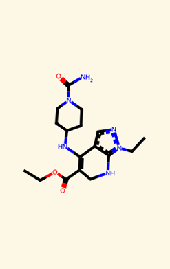 CCOC(=O)C1=C(NC2CCN(C(N)=O)CC2)c2cnn(CC)c2NC1